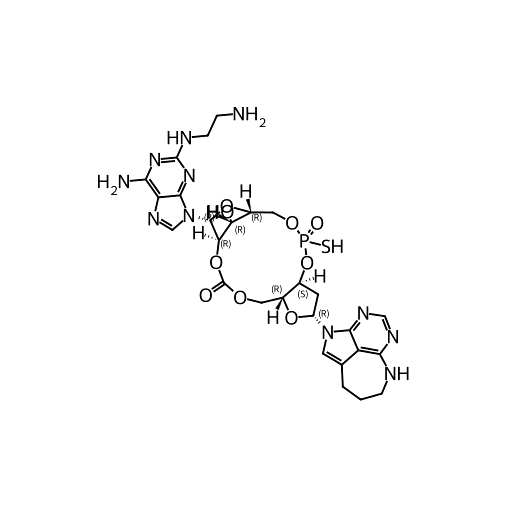 NCCNc1nc(N)c2ncn([C@@H]3O[C@@H]4COP(=O)(S)O[C@H]5C[C@H](n6cc7c8c(ncnc86)NCCC7)O[C@@H]5COC(=O)O[C@@H]3[C@@H]4O)c2n1